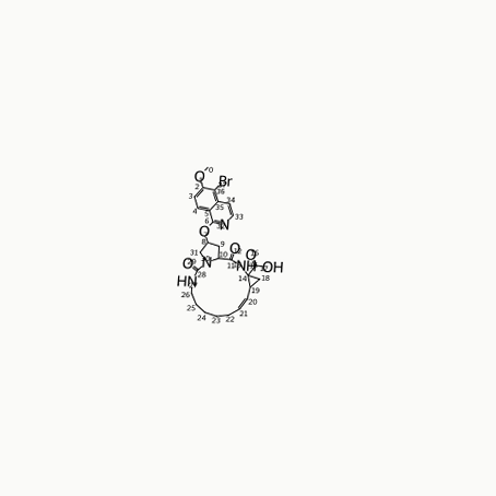 COc1ccc2c(OC3CC4C(=O)NC5(C(=O)O)CC5/C=C\CCCCCNC(=O)N4C3)nccc2c1Br